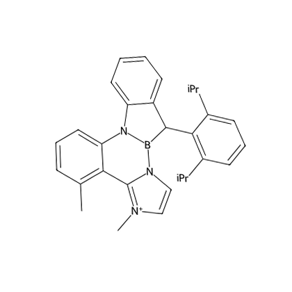 Cc1cccc2c1-c1n(cc[n+]1C)B1C(c3c(C(C)C)cccc3C(C)C)c3ccccc3N12